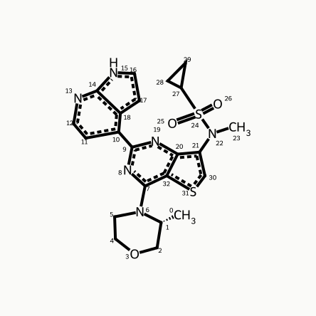 C[C@@H]1COCCN1c1nc(-c2ccnc3[nH]ccc23)nc2c(N(C)S(=O)(=O)C3CC3)csc12